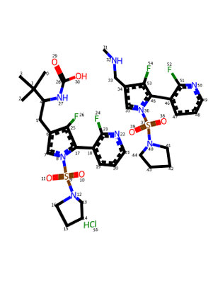 CC(C)(C)C(Cc1cn(S(=O)(=O)N2CCCC2)c(-c2cccnc2F)c1F)NC(=O)O.CNCc1cn(S(=O)(=O)N2CCCC2)c(-c2cccnc2F)c1F.Cl